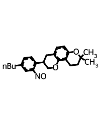 CCCCc1ccc(C2COc3c(ccc4c3CCC(C)(C)O4)C2)c(N=O)c1